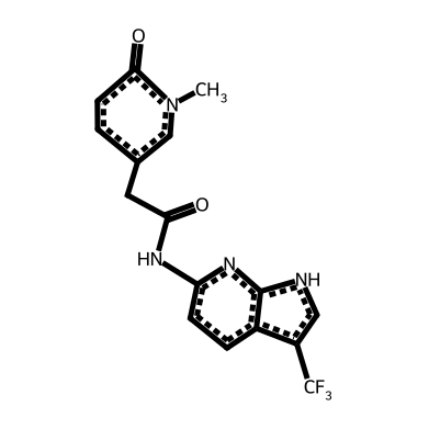 Cn1cc(CC(=O)Nc2ccc3c(C(F)(F)F)c[nH]c3n2)ccc1=O